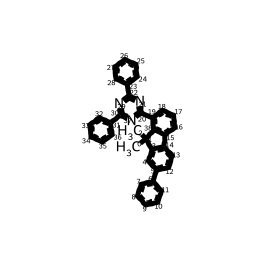 CC1(C)c2cc(-c3ccccc3)ccc2-c2cccc(-c3nc(-c4ccccc4)nc(-c4ccccc4)n3)c21